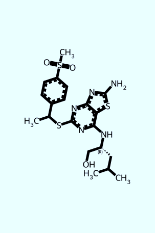 CC(C)C[C@H](CO)Nc1nc(SC(C)c2ccc(S(C)(=O)=O)cc2)nc2nc(N)sc12